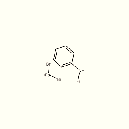 CCNc1ccccc1.[Br][Pb][Br]